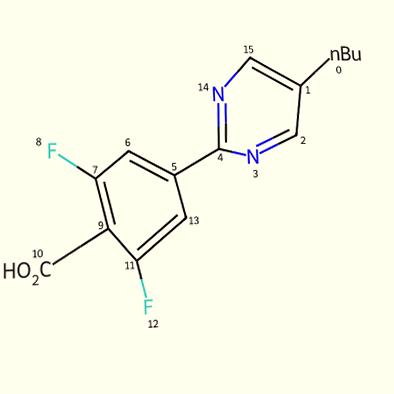 CCCCc1cnc(-c2cc(F)c(C(=O)O)c(F)c2)nc1